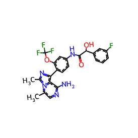 Cc1cnc(N)c2c(-c3ccc(NC(=O)C(O)c4cccc(F)c4)cc3OC(F)(F)F)nc(C)n12